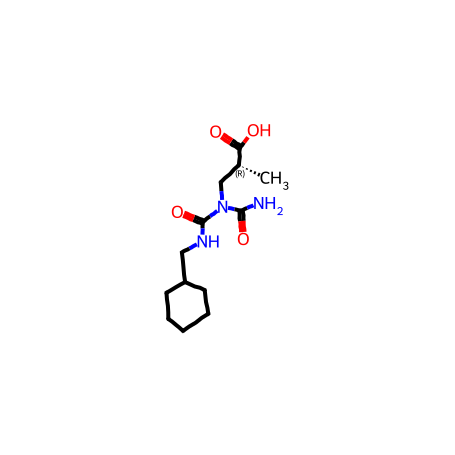 C[C@H](CN(C(N)=O)C(=O)NCC1CCCCC1)C(=O)O